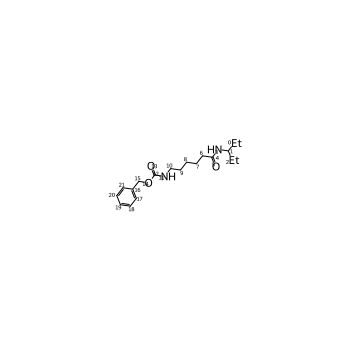 CCC(CC)NC(=O)CCCCCNC(=O)OCc1ccccc1